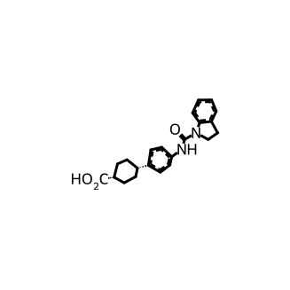 O=C(Nc1ccc([C@H]2CC[C@@H](C(=O)O)CC2)cc1)N1CCc2ccccc21